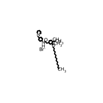 CCCCCCCCCCCCCCOc1cc(CC(=O)Nc2ccc(C[n+]3ccccc3)cc2)ccc1C(C)(C)C.[Br-]